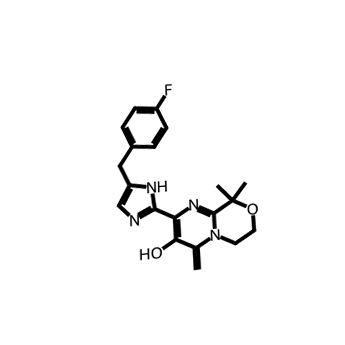 C=C1C(O)=C(c2ncc(Cc3ccc(F)cc3)[nH]2)N=C2N1CCOC2(C)C